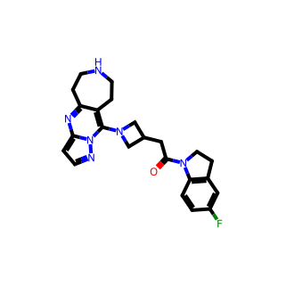 O=C(CC1CN(c2c3c(nc4ccnn24)CCNCC3)C1)N1CCc2cc(F)ccc21